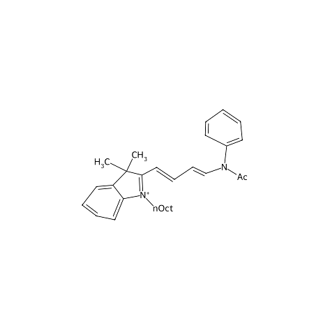 CCCCCCCC[N+]1=C(/C=C/C=C/N(C(C)=O)c2ccccc2)C(C)(C)c2ccccc21